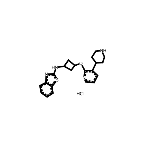 Cl.c1cnc(OC2CC(Nc3nc4ccccc4s3)C2)c(C2CCNCC2)c1